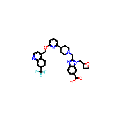 O=C(O)c1ccc2nc(CN3CCC(c4cccc(OCc5ccnc6cc(C(F)(F)F)ccc56)n4)CC3)n(CC3CCO3)c2c1